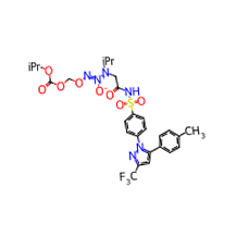 Cc1ccc(-c2cc(C(F)(F)F)nn2-c2ccc(S(=O)(=O)NC(=O)CN(C(C)C)[N+]([O-])=NOCOC(=O)OC(C)C)cc2)cc1